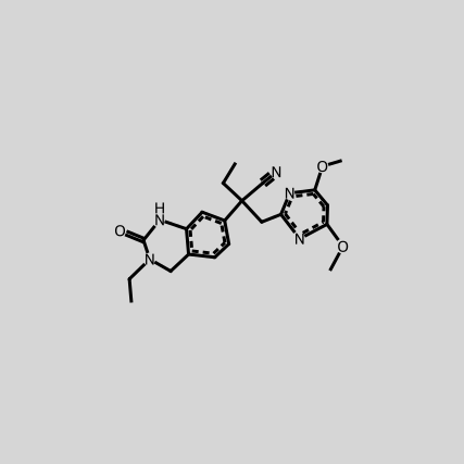 CCN1Cc2ccc(C(C#N)(CC)Cc3nc(OC)cc(OC)n3)cc2NC1=O